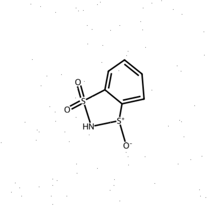 O=S1(=O)N[S+]([O-])c2ccccc21